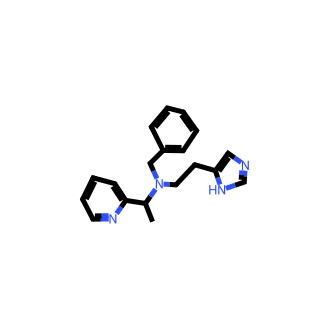 CC(c1ccccn1)N(CCc1cnc[nH]1)Cc1ccccc1